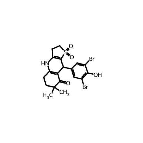 CC1(C)CCC2=C(C1=O)C(c1cc(Br)c(O)c(Br)c1)C1=C(CCS1(=O)=O)N2